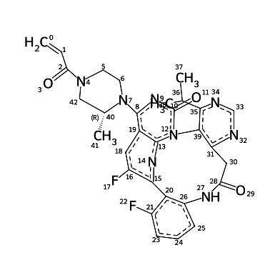 C=CC(=O)N1CCN(c2nc(=O)n3c4nc(c(F)cc24)-c2c(F)cccc2NC(=O)Cc2ncnc(C(C)C)c2-3)[C@H](C)C1